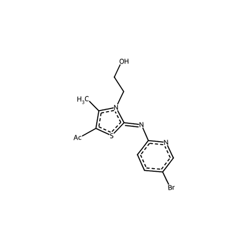 CC(=O)c1s/c(=N\c2ccc(Br)cn2)n(CCO)c1C